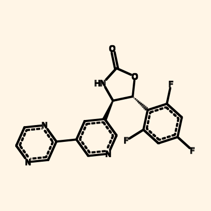 O=C1N[C@H](c2cncc(-c3cnccn3)c2)[C@@H](c2c(F)cc(F)cc2F)O1